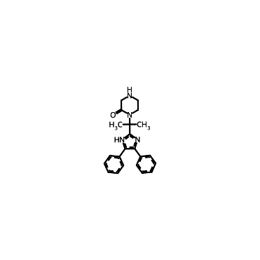 CC(C)(c1nc(-c2ccccc2)c(-c2ccccc2)[nH]1)N1CCNCC1=O